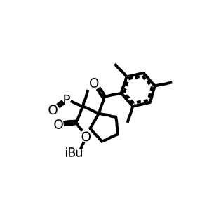 CCC(C)OC(=O)C(C)(P=O)C1(C(=O)c2c(C)cc(C)cc2C)CCCC1